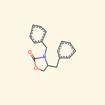 O=C1OCC(Cc2ccccc2)N1Cc1ccccc1